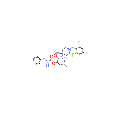 CC(C)CC(OC(=O)NCc1ccccc1)C(=O)NC1(C#N)CCN(Cc2c(F)cc(F)cc2F)CC1